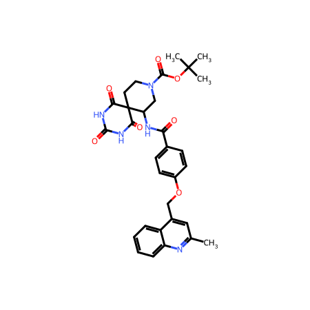 Cc1cc(COc2ccc(C(=O)NC3CN(C(=O)OC(C)(C)C)CCC34C(=O)NC(=O)NC4=O)cc2)c2ccccc2n1